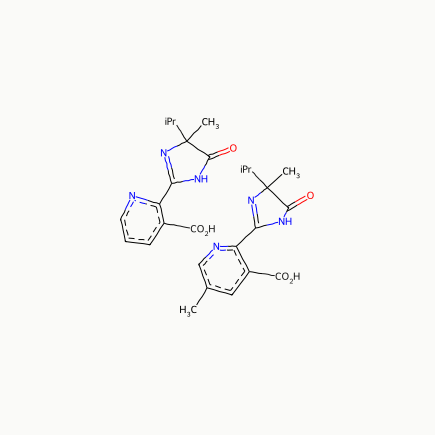 CC(C)C1(C)N=C(c2ncccc2C(=O)O)NC1=O.Cc1cnc(C2=NC(C)(C(C)C)C(=O)N2)c(C(=O)O)c1